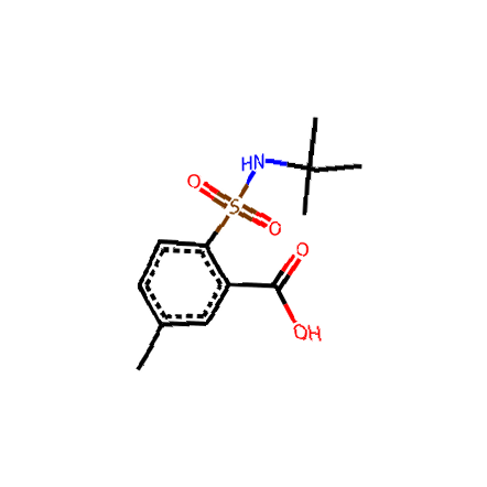 Cc1ccc(S(=O)(=O)NC(C)(C)C)c(C(=O)O)c1